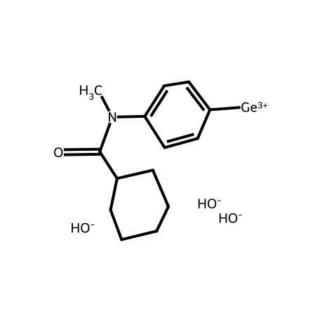 CN(C(=O)C1CCCCC1)c1cc[c]([Ge+3])cc1.[OH-].[OH-].[OH-]